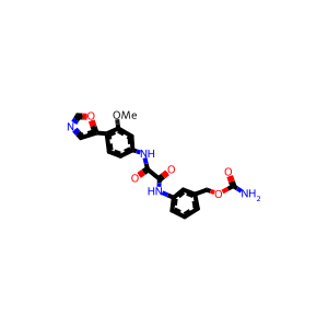 COc1cc(NC(=O)C(=O)Nc2cccc(COC(N)=O)c2)ccc1-c1cnco1